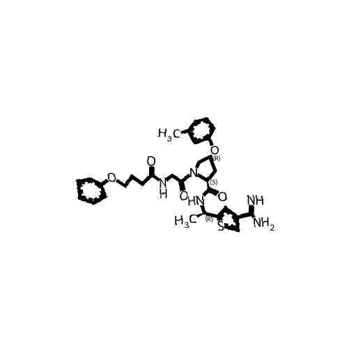 Cc1cccc(O[C@@H]2C[C@@H](C(=O)N[C@H](C)c3cc(C(=N)N)cs3)N(C(=O)CNC(=O)CCCOc3ccccc3)C2)c1